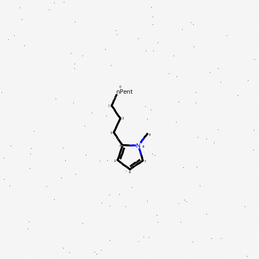 CCCCCCCCc1cccn1C